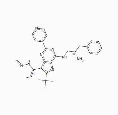 C=NN/C(=C\C)c1c(C(C)(C)C)sc2c(NC[C@@H](N)Cc3ccccc3)nc(-c3ccncc3)nc12